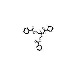 CC(CCOC(=O)c1ccccc1)(CCOC(=O)c1ccccc1)OC(=O)c1ccccc1